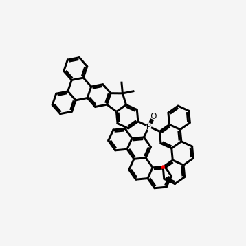 CC1(C)c2cc(P(=O)(c3cc4c5ccccc5ccc4c4ccccc34)c3cc4c5ccccc5ccc4c4ccccc34)ccc2-c2cc3c4ccccc4c4ccccc4c3cc21